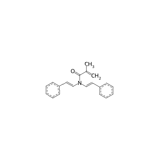 C=C(C)C(=O)N(/C=C/c1ccccc1)/C=C/c1ccccc1